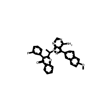 COc1ccc2cc(-c3nn(C(C)c4oc5ccccc5c(=O)c4-c4cccc(F)c4)c4ncnc(N)c34)ccc2c1